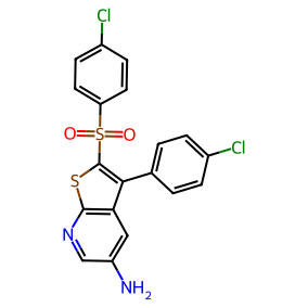 Nc1cnc2sc(S(=O)(=O)c3ccc(Cl)cc3)c(-c3ccc(Cl)cc3)c2c1